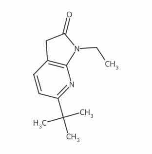 CCN1C(=O)Cc2ccc(C(C)(C)C)nc21